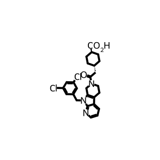 O=C(C[C@H]1CC[C@H](C(=O)O)CC1)N1CCc2c(n(Cc3cc(Cl)cc(Cl)c3)c3ncccc23)C1